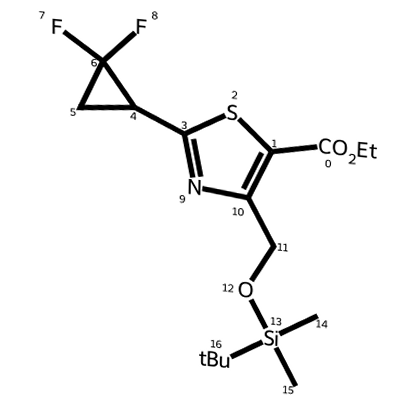 CCOC(=O)c1sc(C2CC2(F)F)nc1CO[Si](C)(C)C(C)(C)C